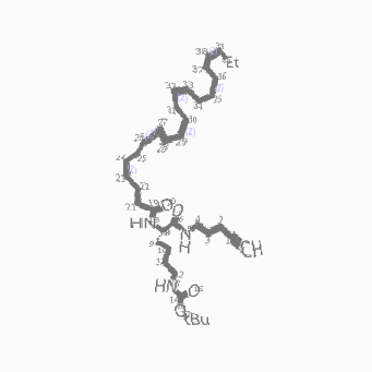 C#CCCCNC(=O)[C@H](CCCCNC(=O)OC(C)(C)C)NC(=O)CC/C=C\C/C=C\C/C=C\C/C=C\C/C=C\C/C=C\CC